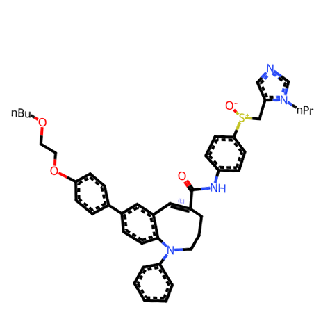 CCCCOCCOc1ccc(-c2ccc3c(c2)/C=C(/C(=O)Nc2ccc([S+]([O-])Cc4cncn4CCC)cc2)CCCN3c2ccccc2)cc1